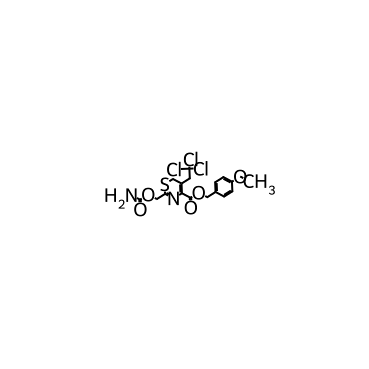 COc1ccc(COC(=O)C2=C(CC(Cl)(Cl)Cl)CSC(COC(N)=O)=N2)cc1